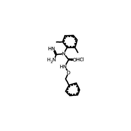 Cc1cccc(C)c1N(C(=N)N)C(=O)NOCc1ccccc1.Cl